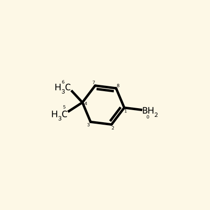 BC1=CCC(C)(C)C=C1